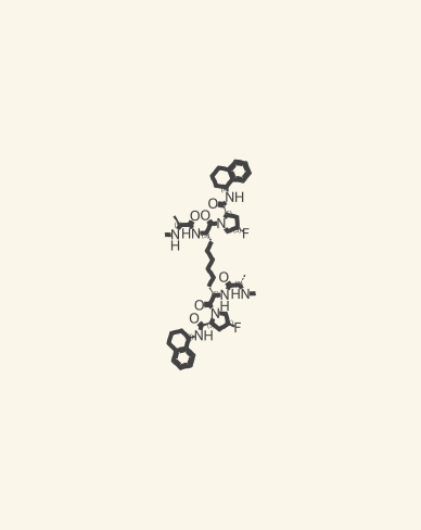 CN[C@@H](C)C(=O)N[C@@H](CCCCCC[C@H](NC(=O)[C@H](C)NC)C(=O)N1C[C@@H](F)C[C@H]1C(=O)N[C@@H]1CCCc2ccccc21)C(=O)N1C[C@@H](F)C[C@H]1C(=O)N[C@@H]1CCCc2ccccc21